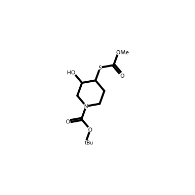 COC(=O)SC1CCN(C(=O)OC(C)(C)C)CC1O